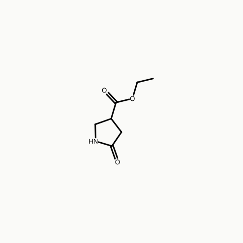 CCOC(=O)C1CNC(=O)C1